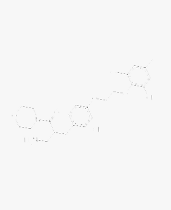 Cc1cc(Cl)c(OCCOc2ccc(CC(CN)C(=O)N3CCOCC3)cc2)c(Cl)c1.Cl